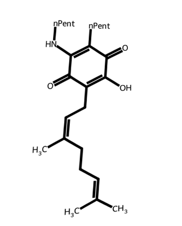 CCCCCNC1=C(CCCCC)C(=O)C(O)=C(CC=C(C)CCC=C(C)C)C1=O